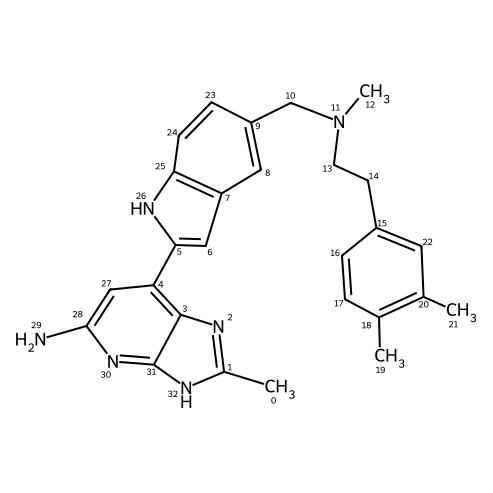 Cc1nc2c(-c3cc4cc(CN(C)CCc5ccc(C)c(C)c5)ccc4[nH]3)cc(N)nc2[nH]1